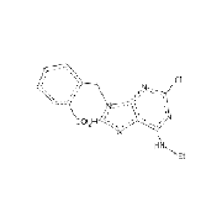 CCNc1nc(Cl)nc2c1ncn2Cc1ccccc1C(=O)O